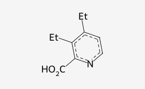 CCc1ccnc(C(=O)O)c1CC